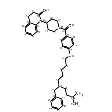 CN(C)CCN(CCCCCOc1ccc(C(=O)N2CCC(N3C(=O)CCc4ccccc43)CC2)cc1)Cc1ccccc1